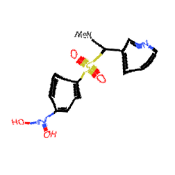 CNC(c1cccnc1)S(=O)(=O)c1ccc(N(O)O)cc1